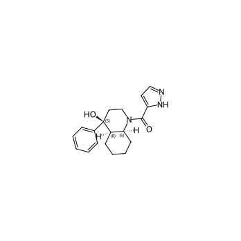 O=C(c1ccn[nH]1)N1CC[C@@](O)(c2ccccc2)[C@@H]2CCCC[C@@H]21